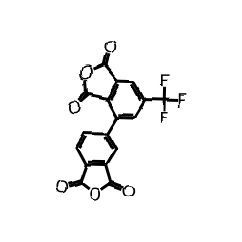 O=C1OC(=O)c2cc(-c3cc(C(F)(F)F)cc4c3C(=O)OC4=O)ccc21